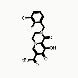 CC(C)(C)C(=O)c1cn2c(c(O)c1=O)C(=O)N(Cc1cccc(Cl)c1F)CC2